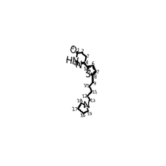 O=C1CCC(c2ccc(CCCCCN3CCCC3)s2)=NN1